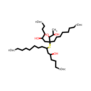 CCCCCCCCCCCCCCCCCC(CC(O)CCCCCCCCCCCCC)SC(CCCCCCCCCCCCCCCCC)(CC(O)CCCCCCCCCCCCC)C(O)C(C)O